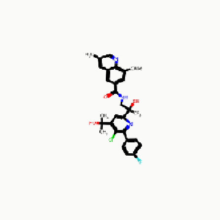 COc1cc(C(=O)NCC(O)(c2cc(C(C)(C)O)c(Cl)c(-c3ccc(F)cc3)n2)C(F)(F)F)cc2cc(C)cnc12